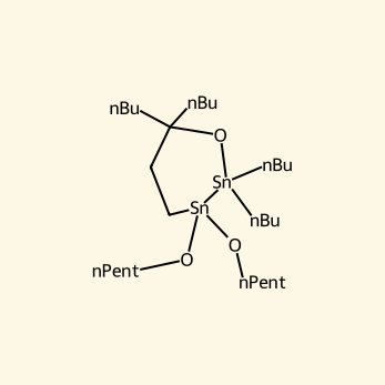 CCCCC[O][Sn]1([O]CCCCC)[CH2]CC(CCCC)(CCCC)[O][Sn]1([CH2]CCC)[CH2]CCC